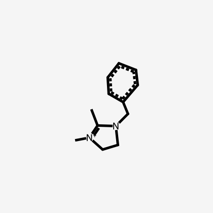 CC1=[N+](C)CCN1Cc1ccccc1